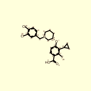 O=C(O)c1ccc(O[C@H]2CCCN(Cc3ccc(Cl)c(Cl)c3)C2)c(C2CC2)c1F